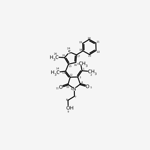 CC(C)=C1C(=O)N(CCO)C(=O)/C1=C(\C)c1cc(-c2ccccc2)sc1C